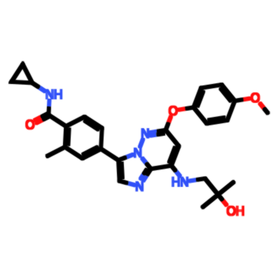 COc1ccc(Oc2cc(NCC(C)(C)O)c3ncc(-c4ccc(C(=O)NC5CC5)c(C)c4)n3n2)cc1